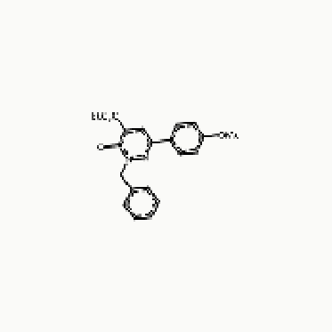 CCOC(=O)c1cc(-c2ccc(OC)cc2)nn(Cc2ccccc2)c1=O